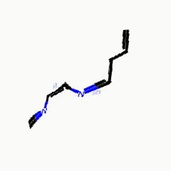 C=CC/C=N\C=C/N=C